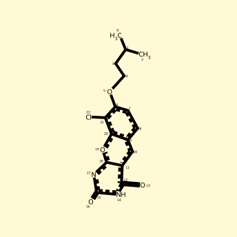 CC(C)CCOc1ccc2cc3c(=O)[nH]c(=O)nc-3oc2c1Cl